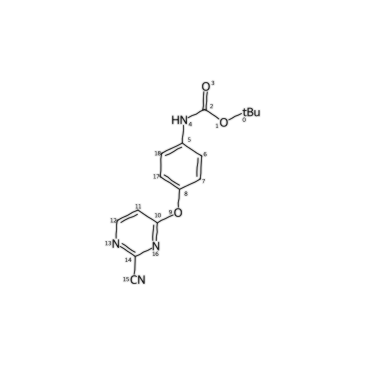 CC(C)(C)OC(=O)Nc1ccc(Oc2ccnc(C#N)n2)cc1